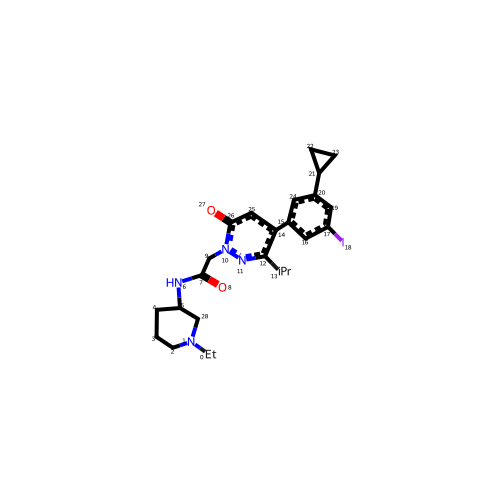 CCN1CCCC(NC(=O)Cn2nc(C(C)C)c(-c3cc(I)cc(C4CC4)c3)cc2=O)C1